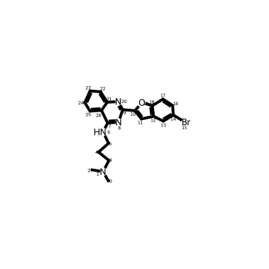 CN(C)CCCNc1nc(-c2cc3cc(Br)ccc3o2)nc2ccccc12